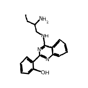 CCC(N)CNc1nc(-c2ccccc2O)nc2ccccc12